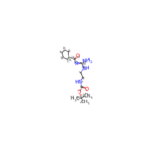 CC(C)(C)OC(=O)NCCN/C(N)=N/C(=O)C1CCCCC1